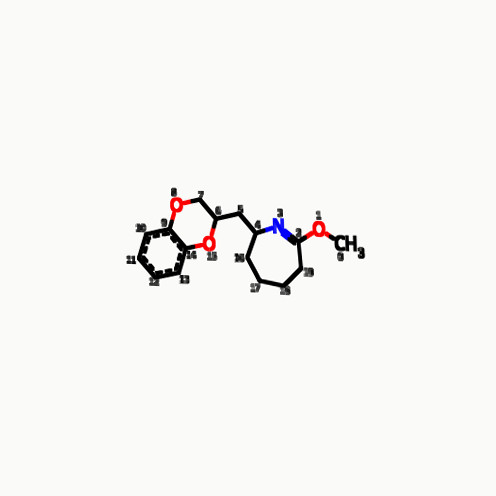 COC1=NC(CC2COc3ccccc3O2)CCCC1